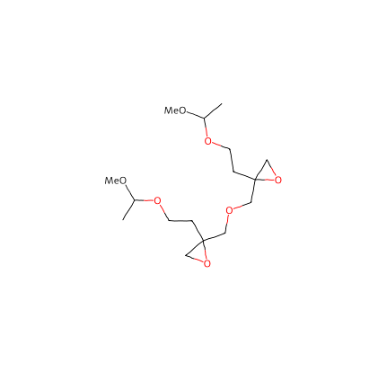 COC(C)OCCC1(COCC2(CCOC(C)OC)CO2)CO1